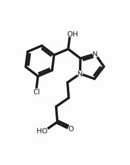 O=C(O)CCCn1ccnc1C(O)c1cccc(Cl)c1